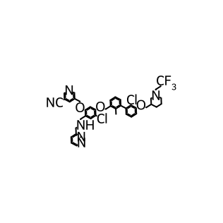 Cc1c(COc2cc(OCc3cncc(C#N)c3)c(CNCc3cccnn3)cc2Cl)cccc1-c1cccc(OCC2CCCN(CCC(F)(F)F)C2)c1Cl